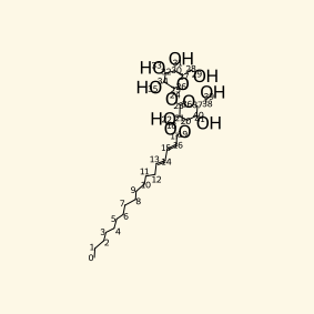 CCCCCCCCCCCCCC=CC=CC(=O)O[C@@H]1[C@@H](O)[C@@H](O[C@H]2O[C@H](CO)[C@@H](O)[C@H](O)[C@H]2O)O[C@H](CO)[C@H]1O